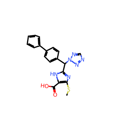 CSc1nc(C(c2ccc(-c3ccccc3)cc2)n2ncnn2)[nH]c1C(=O)O